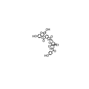 CCNC(=O)C(CNC(=O)c1ccc2c(c1)C(=O)OC21c2ccc(O)cc2Oc2cc(O)ccc21)CN(CC)CCNC(=O)c1ccc(O)cc1